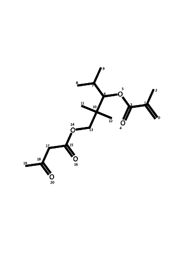 C=C(C)C(=O)OC(C(C)C)C(C)(C)COC(=O)CC(C)=O